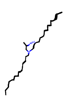 CCCCCCCCCCCCCN(CCCCCCCCCCCCC)CC(C)N